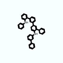 C1=CCC(C2=CC(c3cccc(-c4ccccc4Nc4ccccc4)c3)CC=C2Nc2cccc(-c3ccccc3)c2)C=C1